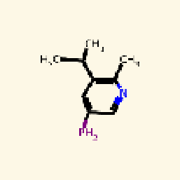 Cc1ncc(P)cc1C(C)C